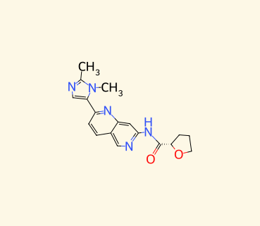 Cc1ncc(-c2ccc3cnc(NC(=O)[C@@H]4CCCO4)cc3n2)n1C